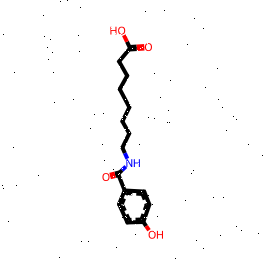 O=C(O)CCCCCCCNC(=O)c1ccc(O)cc1